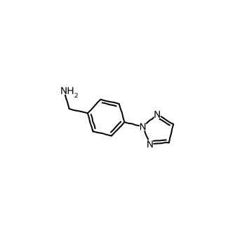 NCc1ccc(-n2nccn2)cc1